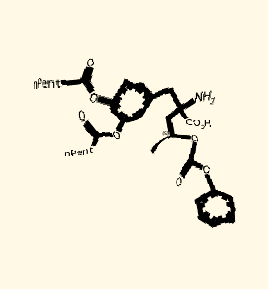 CCCCCC(=O)Oc1ccc(CC(N)(C[C@H](C)OC(=O)Oc2ccccc2)C(=O)O)cc1OC(=O)CCCCC